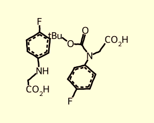 CC(C)(C)OC(=O)N(CC(=O)O)c1ccc(F)cc1.O=C(O)CNc1ccc(F)cc1